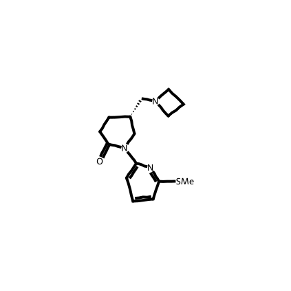 CSc1cccc(N2C[C@@H](CN3CCC3)CCC2=O)n1